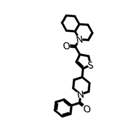 O=C(c1ccccc1)N1CCC(C2=CC(C(=O)N3CCCC4CCCCC43)CS2)CC1